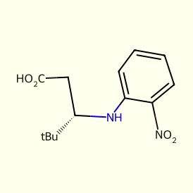 CC(C)(C)[C@H](CC(=O)O)Nc1ccccc1[N+](=O)[O-]